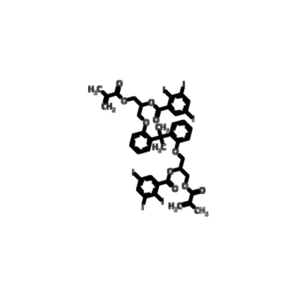 C=C(C)C(=O)OCC(COc1ccccc1C(C)(C)c1ccccc1OCC(COC(=O)C(=C)C)OC(=O)c1cc(I)cc(I)c1I)OC(=O)c1cc(I)cc(I)c1I